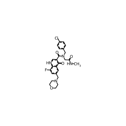 CNC(=O)CN(Cc1ccc(Cl)cc1)C(=O)c1c[nH]c2c(F)cc(CN3CCOCC3)cc2c1=O